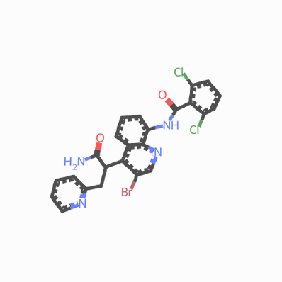 NC(=O)C(Cc1ccccn1)c1c(Br)cnc2c(NC(=O)c3c(Cl)cccc3Cl)cccc12